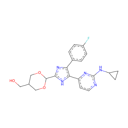 OCC1COC(c2nc(-c3ccc(F)cc3)c(-c3ccnc(NC4CC4)n3)[nH]2)OC1